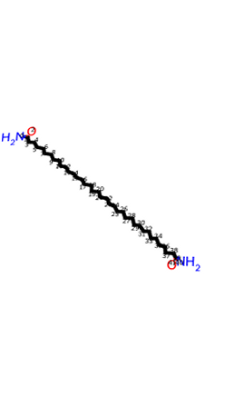 NC(=O)CCCCCCCCCCCCCCCCCCCCCCCCCCCCCCCCCCCCC(N)=O